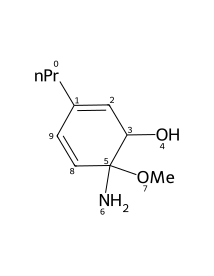 CCCC1=CC(O)C(N)(OC)C=C1